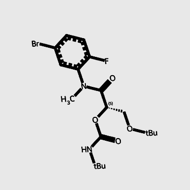 CN(C(=O)[C@H](COC(C)(C)C)OC(=O)NC(C)(C)C)c1cc(Br)ccc1F